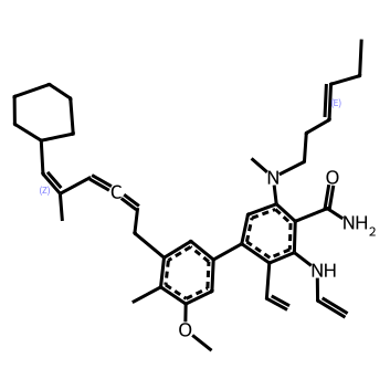 C=CNc1c(C=C)c(-c2cc(CC=C=C/C(C)=C\C3CCCCC3)c(C)c(OC)c2)cc(N(C)CC/C=C/CC)c1C(N)=O